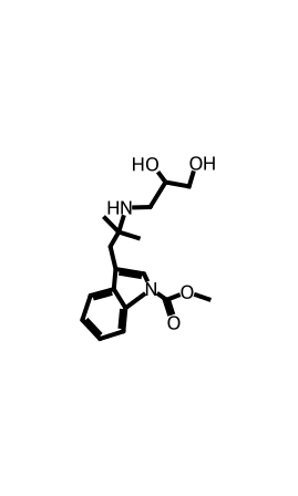 COC(=O)n1cc(CC(C)(C)NCC(O)CO)c2ccccc21